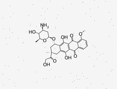 COc1cccc2c1C(=O)c1c(O)c3c(c(O)c1C2=O)C[C@@](C)(C(=O)CO)C[C@@H]3O[C@@H]1C[C@H](N)C(O)[C@H](C)O1